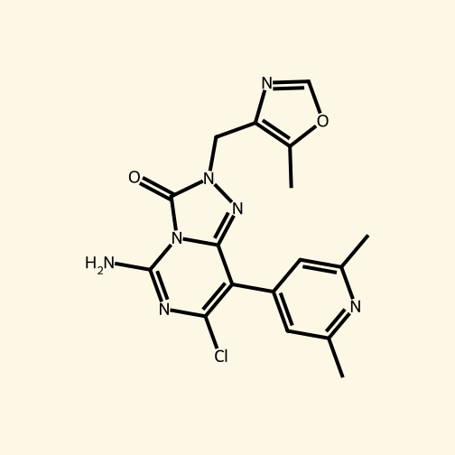 Cc1cc(-c2c(Cl)nc(N)n3c(=O)n(Cc4ncoc4C)nc23)cc(C)n1